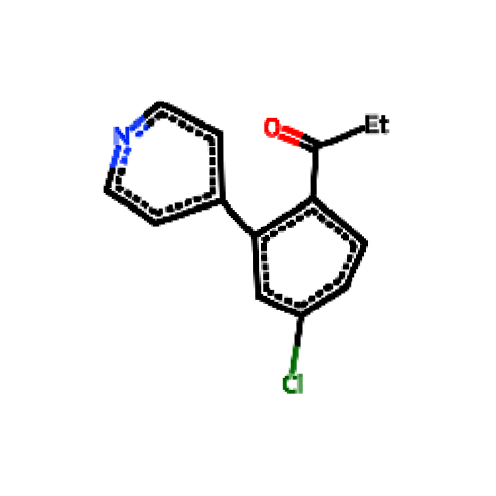 CCC(=O)c1ccc(Cl)cc1-c1ccncc1